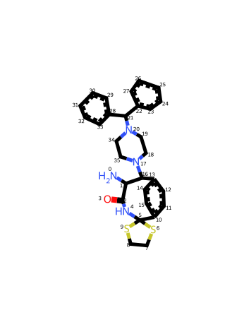 NC1C(=O)NC2(SCCS2)c2ccc(cc2)C1N1CCN(C(c2ccccc2)c2ccccc2)CC1